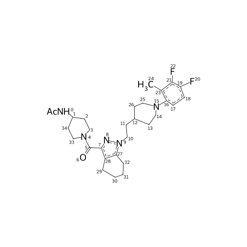 CC(=O)NC1CCN(C(=O)c2nn(CCC3CCN(c4ccc(F)c(F)c4C)CC3)c3c2CCCC3)CC1